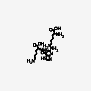 NCCCCC(N)C(=O)O.NCCCCC(N)C(=O)O.Nc1nc2nc[nH]c2c(=O)[nH]1